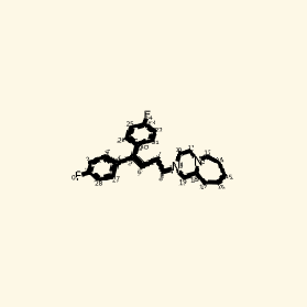 Fc1ccc(C(CCCN2CCN3CCCCCC3C2)c2ccc(F)cc2)cc1